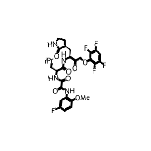 COc1ccc(F)cc1NC(=O)C(=O)N[C@@H](CC(C)C)C(=O)N[C@@H](C[C@@H]1CCNC1=O)C(=O)COc1c(F)c(F)cc(F)c1F